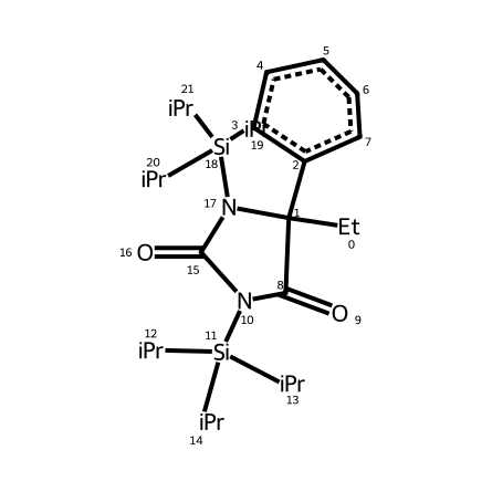 CCC1(c2ccccc2)C(=O)N([Si](C(C)C)(C(C)C)C(C)C)C(=O)N1[Si](C(C)C)(C(C)C)C(C)C